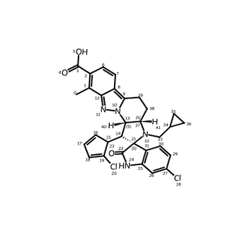 Cc1c(C(=O)O)ccc2c3n(nc12)[C@H]1C(C2C=CC=C2Cl)[C@]2(C(=O)Nc4cc(Cl)ccc42)N(CC2CC2)[C@H]1CC3